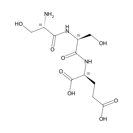 N[C@@H](CO)C(=O)N[C@@H](CO)C(=O)N[C@@H](CCC(=O)O)C(=O)O